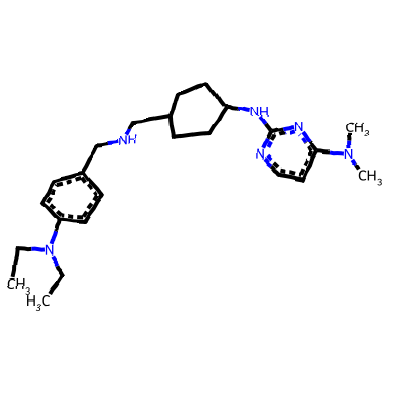 CCN(CC)c1ccc(CNCC2CCC(Nc3nccc(N(C)C)n3)CC2)cc1